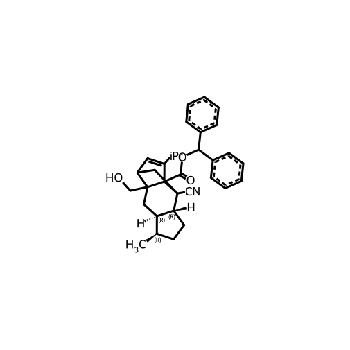 CC(C)C1=CC2CC3(C#N)[C@@H]4CC[C@@H](C)[C@H]4CC2(CO)C13C(=O)OC(c1ccccc1)c1ccccc1